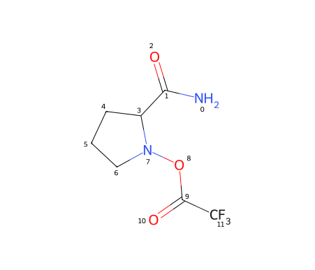 NC(=O)C1CCCN1OC(=O)C(F)(F)F